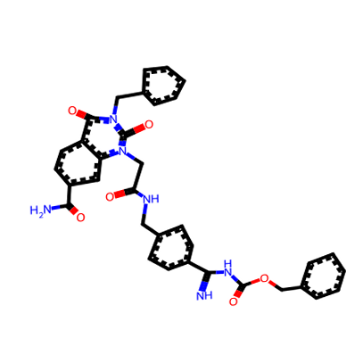 N=C(NC(=O)OCc1ccccc1)c1ccc(CNC(=O)Cn2c(=O)n(Cc3ccccc3)c(=O)c3ccc(C(N)=O)cc32)cc1